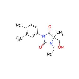 CC1(CO)C(=O)N(c2ccc(C#N)c(C(F)(F)F)c2)C(=O)N1CC#N